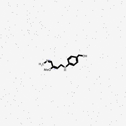 C/N=C\C(=C/CNc1ccc(CO)cc1)OC